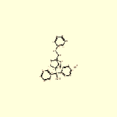 OC(c1ccccc1)(c1ccccc1)C12CC[N+](CCc3ccccc3)(CC1)C2.[Br-]